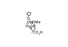 CON(C(=O)COc1ccccc1)C1C(=O)N2CC(C)(C(=O)O)CS[C@H]12